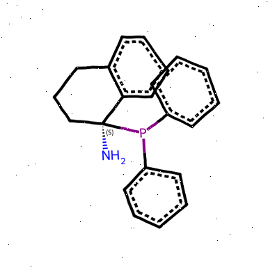 N[C@]1(P(c2ccccc2)c2ccccc2)CCCc2ccccc21